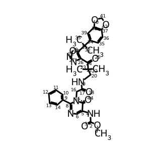 COC(=O)Nc1cnc(-c2ccccc2)n(CC(=O)NCC(C)(C)C(=O)c2nnoc2C(C)(C)c2ccc3c(c2)OCO3)c1=O